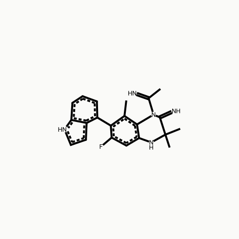 CC(=N)N1C(=N)C(C)(C)Nc2cc(F)c(-c3cccc4[nH]ccc34)c(C)c21